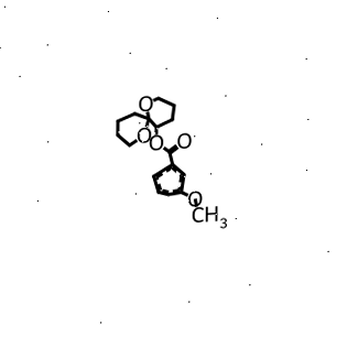 COc1cccc(C(=O)OC2CCCOC23CCCCO3)c1